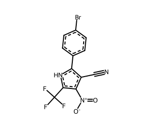 N#Cc1c(-c2ccc(Br)cc2)[nH]c(C(F)(F)F)c1[N+](=O)[O-]